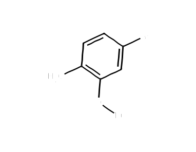 [CH2]c1ccc(Br)cc1OCC